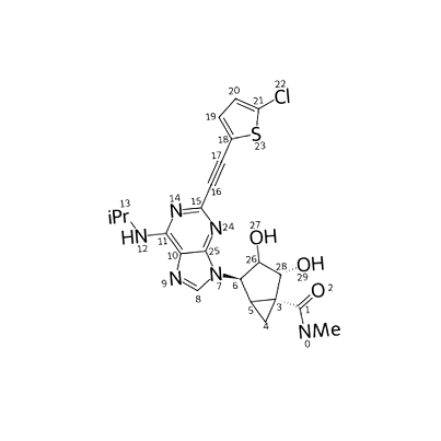 CNC(=O)[C@]12CC1[C@@H](n1cnc3c(NC(C)C)nc(C#Cc4ccc(Cl)s4)nc31)C(O)[C@@H]2O